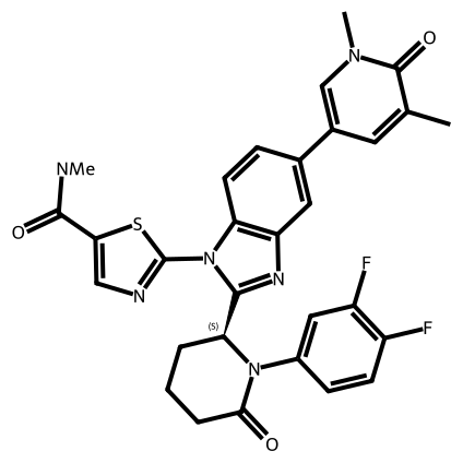 CNC(=O)c1cnc(-n2c([C@@H]3CCCC(=O)N3c3ccc(F)c(F)c3)nc3cc(-c4cc(C)c(=O)n(C)c4)ccc32)s1